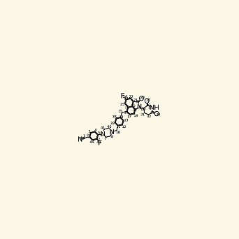 N#Cc1ccc(N2CCN(Cc3ccc(Cc4ccc5c6c(cc(F)cc46)C(=O)N5[C@H]4CCC(=O)NC4=O)cc3)CC2)c(F)c1